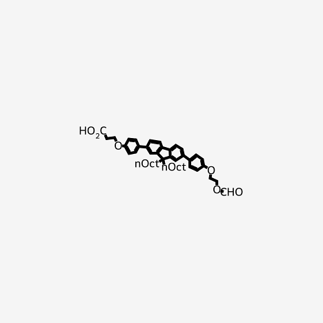 CCCCCCCCC1(CCCCCCCC)c2cc(-c3ccc(OCCOC=O)cc3)ccc2-c2ccc(-c3ccc(OCCC(=O)O)cc3)cc21